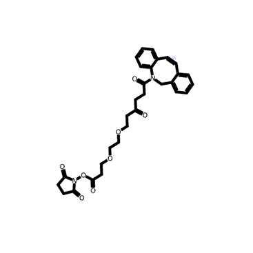 O=C(CCOCCOCCC(=O)ON1C(=O)CCC1=O)CCC(=O)N1Cc2ccccc2/C=C\c2ccccc21